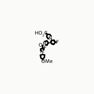 CO[C@H]1CC[C@H](N2CC[C@](F)(C(=O)N3CC[C@@H](c4ccc(F)cc4N4CCC(C(=O)O)CC4)C3)C2)CC1